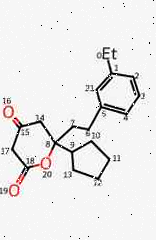 CCc1cccc(CCC2(C3CCCC3)CC(=O)CC(=O)O2)c1